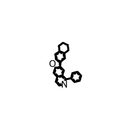 c1ccc(-c2nccc3cc4oc5cc6c(cc5c4cc23)CCCC6)cc1